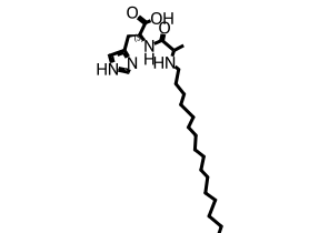 CCCCCCCCCCCCCCCCNC(C)C(=O)N[C@@H](Cc1c[nH]cn1)C(=O)O